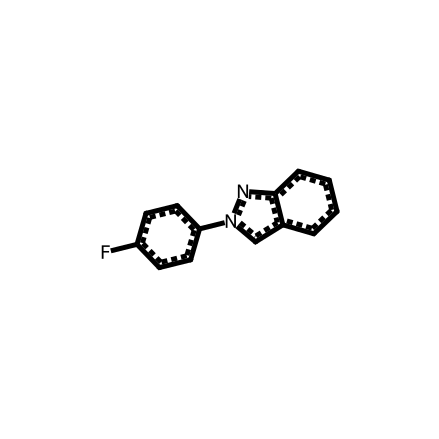 Fc1ccc(-n2cc3ccccc3n2)cc1